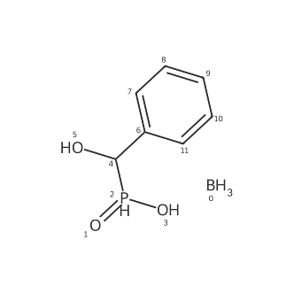 B.O=[PH](O)C(O)c1ccccc1